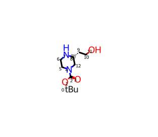 CC(C)(C)OC(=O)N1CCN[C@H](CCO)C1